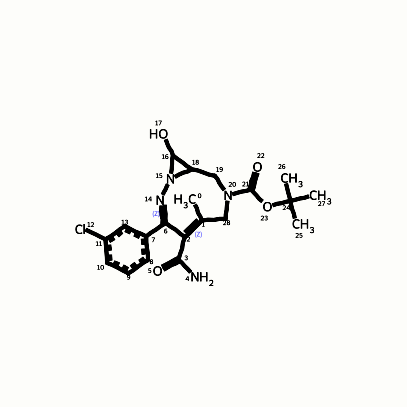 C/C1=C(C(N)=O)\C(c2cccc(Cl)c2)=N/N2C(O)C2CN(C(=O)OC(C)(C)C)C1